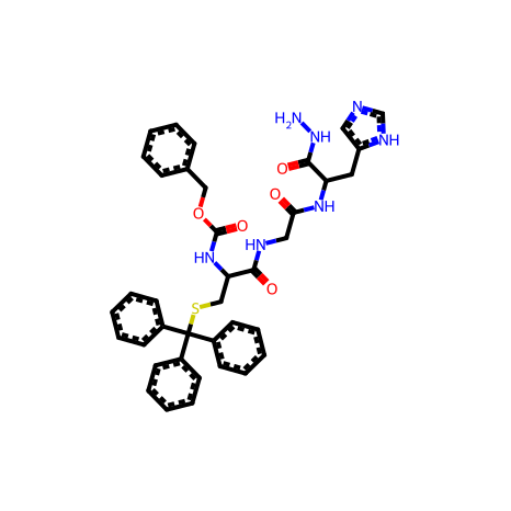 NNC(=O)C(Cc1cnc[nH]1)NC(=O)CNC(=O)C(CSC(c1ccccc1)(c1ccccc1)c1ccccc1)NC(=O)OCc1ccccc1